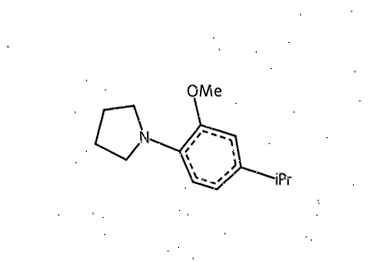 COc1cc(C(C)C)ccc1N1CCCC1